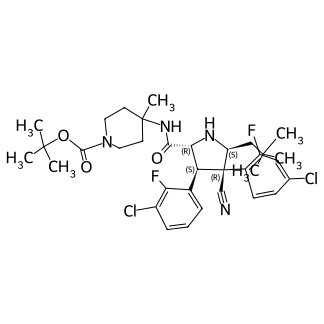 CC(C)(C)C[C@@H]1N[C@@H](C(=O)NC2(C)CCN(C(=O)OC(C)(C)C)CC2)[C@H](c2cccc(Cl)c2F)[C@@]1(C#N)c1ccc(Cl)cc1F